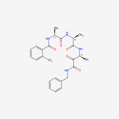 CC(C)[C@H](NC(=O)[C@H](C)NC(=O)[C@@H](NC(=O)c1ccccc1C(F)(F)F)C(C)(C)C)C(=O)C(=O)NCc1ccccc1